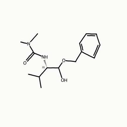 CC(C)[C@H](NC(=O)N(C)C)C(O)OCc1ccccc1